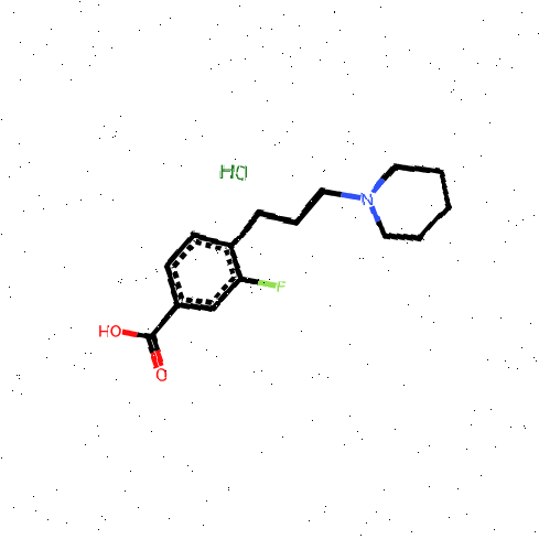 Cl.O=C(O)c1ccc(CCCN2CCCCC2)c(F)c1